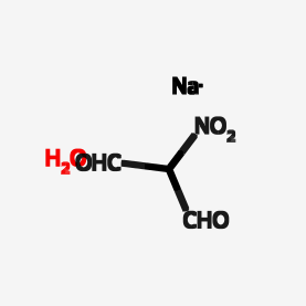 O.O=CC(C=O)[N+](=O)[O-].[Na]